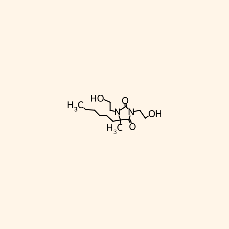 CCCCCCC1(C)C(=O)N(CCO)C(=O)N1CCO